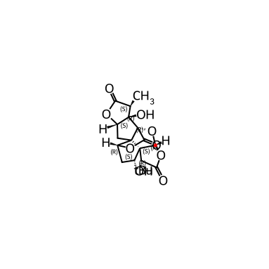 C[C@@H]1C(=O)O[C@H]2CC34[C@H]5C[C@@H](C(C)(C)C)[C@]36[C@@H](OC(=O)[C@@H]6O)O[C@@]4(C(=O)O5)[C@]21O